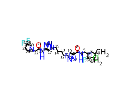 C=C(Cl)/C=C(/CNC(=O)c1cn(CCCCn2cc(NC(=O)CN3CCC(F)(F)C3)nn2)nn1)C(=C)F